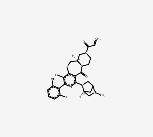 C=CC(=O)N1CCN2C(=O)c3c(N4CC5C[C@H]4CN5C)nc(-c4c(O)cccc4F)c(Cl)c3OC[C@H]2C1